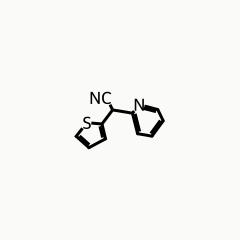 N#CC(c1ccccn1)c1cccs1